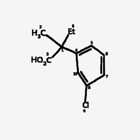 CCC(C)(C(=O)O)c1cccc(Cl)c1